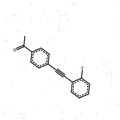 CC(=O)c1ccc(C#Cc2ccccc2F)cc1